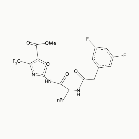 CCCC(NC(=O)Cc1cc(F)cc(F)c1)C(=O)Nc1nc(C(F)(F)F)c(C(=O)OC)o1